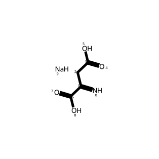 N=C(CC(=O)O)C(=O)O.[NaH]